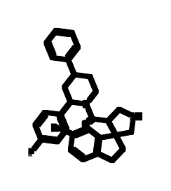 O=C(C1CNCC12CCc1ccc(Br)cc12)N1CCC(c2ccccc2)CC1c1ccc(F)cc1